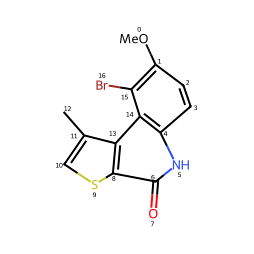 COc1ccc2[nH]c(=O)c3scc(C)c3c2c1Br